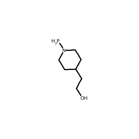 OCCC1CCN(P)CC1